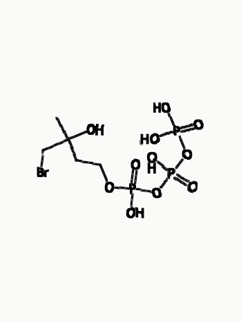 CC(O)(CBr)CCOP(=O)(O)OP(=O)(O)OP(=O)(O)O